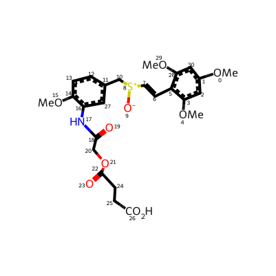 COc1cc(OC)c(/C=C/[S+]([O-])Cc2ccc(OC)c(NC(=O)COC(=O)CCC(=O)O)c2)c(OC)c1